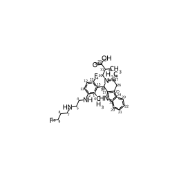 Cc1c(NCCNCCCF)ccc(F)c1[C@@H]1c2[nH]c3ccccc3c2C[C@@H](C)N1CC(C)C(=O)O